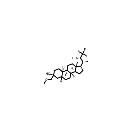 COC[C@]1(O)CC[C@H]2[C@H](CC[C@@H]3[C@@H]2CC[C@]2(C)[C@@H]([C@H](C)[C@@H](O)C(F)(F)F)CC[C@@H]32)C1